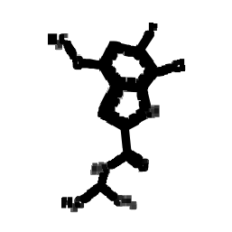 COc1cc(F)c(Cl)c2[nH]c(C(=O)NC(C)C)cc12